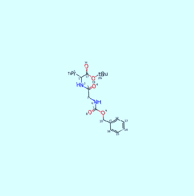 CCCC(NC(=O)CNC(=O)OCc1ccccc1)C(=O)OC(C)(C)C